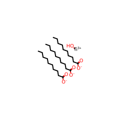 CCCCCCCCCC(=O)[O-].CCCCCCCCCC(=O)[O-].CCCCCCCCCC(=O)[O-].[OH][Ti+3]